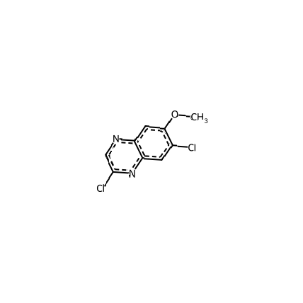 COc1cc2ncc(Cl)nc2cc1Cl